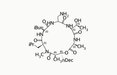 CCCCCCCCCC[C@H]1OC(=O)[C@H](C)NC(=O)[C@H]([C@H](C)O)NC(=O)C(CN)NC(=O)[C@H]([C@H](C)CC)NC(=O)[C@H](CC(C)C)N(C)C(=O)[C@@H]1C